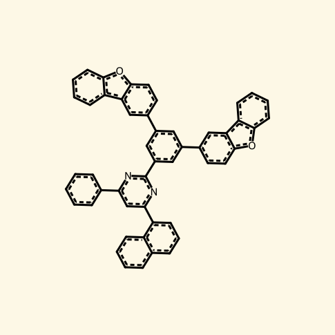 c1ccc(-c2cc(-c3cccc4ccccc34)nc(-c3cc(-c4ccc5oc6ccccc6c5c4)cc(-c4ccc5oc6ccccc6c5c4)c3)n2)cc1